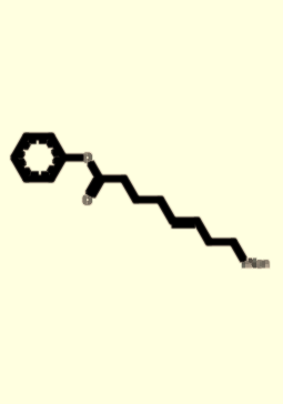 CCCCCCCCCCCC=CCCCC(=O)Oc1ccccc1